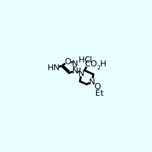 CCON1CCN([n+]2cc([NH-])on2)C(C(=O)O)C1.Cl